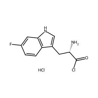 Cl.N[C@@H](Cc1c[nH]c2cc(F)ccc12)C(=O)Cl